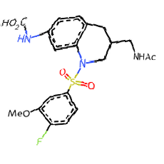 COc1cc(S(=O)(=O)N2CC(CNC(C)=O)Cc3ccc(NC(=O)O)cc32)ccc1F